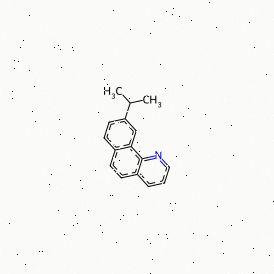 CC(C)c1ccc2ccc3cccnc3c2c1